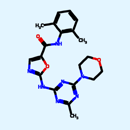 Cc1nc(Nc2ncc(C(=O)Nc3c(C)cccc3C)o2)nc(N2CCOCC2)n1